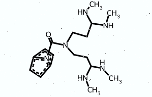 CNC(CCN(CCC(NC)NC)C(=O)n1c2ccc1cc2)NC